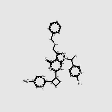 CC(c1ccc(C(F)(F)F)nc1)n1nc(COCc2ccccc2)c2c(=O)[nH]c(C3CCC3c3ncc(C=O)cn3)nc21